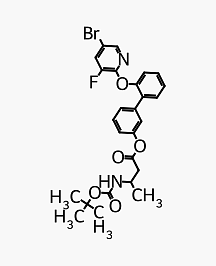 CC(CC(=O)Oc1cccc(-c2ccccc2Oc2ncc(Br)cc2F)c1)NC(=O)OC(C)(C)C